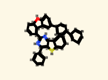 c1ccc(-c2ccc(-c3ccc4oc5cccc(-c6nc(-c7ccccc7)c7sc8ccccc8c7n6)c5c4c3)cc2)cc1